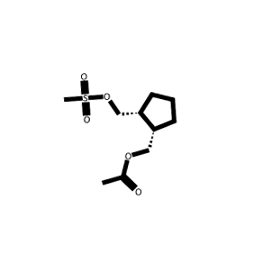 CC(=O)OC[C@H]1CCC[C@H]1COS(C)(=O)=O